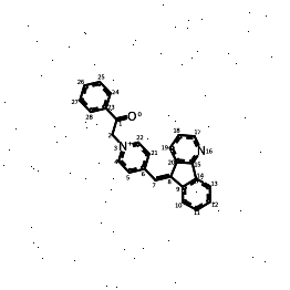 O=C(C[n+]1ccc(/C=C2/c3ccccc3-c3ncccc32)cc1)c1ccccc1